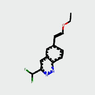 CCO/C=C/c1ccc2nnc(C(F)F)cc2c1